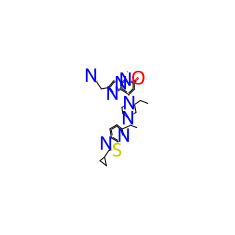 CCC1CN(C(C)c2ccc3nc(C4CC4)sc3n2)CCN1c1cc(=O)n(C)n2cc(CC#N)nc12